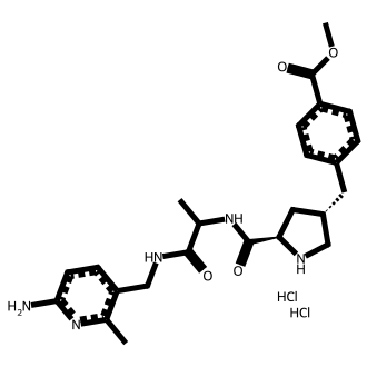 COC(=O)c1ccc(C[C@@H]2CN[C@@H](C(=O)NC(C)C(=O)NCc3ccc(N)nc3C)C2)cc1.Cl.Cl